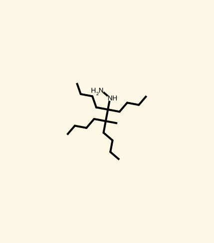 CCCCC(C)(CCCC)C(CCCC)(CCCC)NN